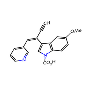 C#C/C(=C/c1cccnc1)c1cn(C(=O)O)c2ccc(OC)cc12